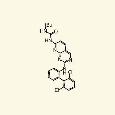 CC(C)(C)NC(=O)Nc1ccc2cnc(Nc3ccccc3-c3c(Cl)cccc3Cl)nc2n1